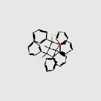 CC(C(N)(c1ccccc1)c1ccccc1)(C(N)(c1ccccc1)c1ccccc1)C(N)(c1ccccc1)c1ccccc1